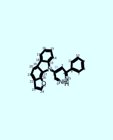 N=C/C(=C\C(=N)c1ccccc1)n1c2ccccc2c2ccc3ccoc3c21